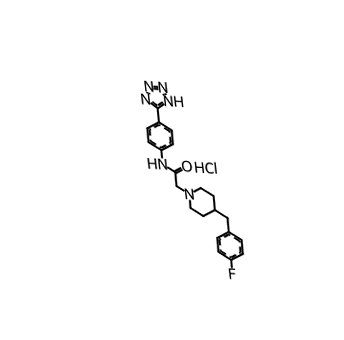 Cl.O=C(CN1CCC(Cc2ccc(F)cc2)CC1)Nc1ccc(-c2nnn[nH]2)cc1